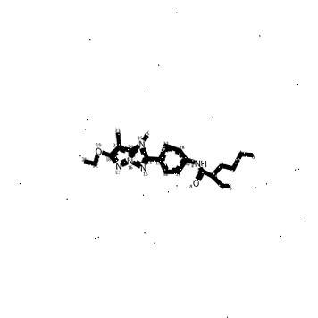 CCCCC(CC)C(=O)Nc1ccc(-c2nn3nc(OCC)c(C)c3n2C)cc1